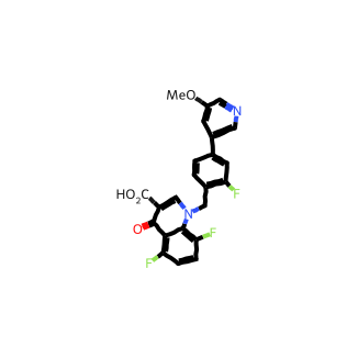 COc1cncc(-c2ccc(Cn3cc(C(=O)O)c(=O)c4c(F)ccc(F)c43)c(F)c2)c1